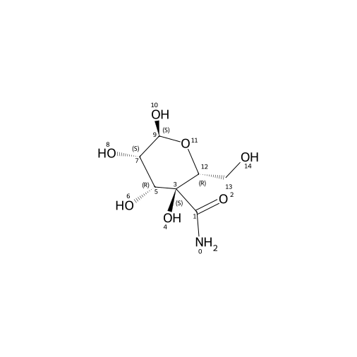 NC(=O)[C@]1(O)[C@H](O)[C@H](O)[C@@H](O)O[C@@H]1CO